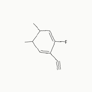 C#CC1=CC(C)C(C)C=C1F